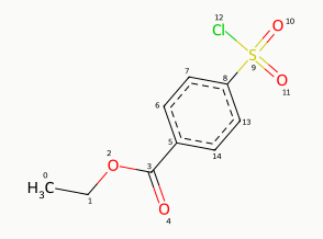 CCOC(=O)c1ccc(S(=O)(=O)Cl)cc1